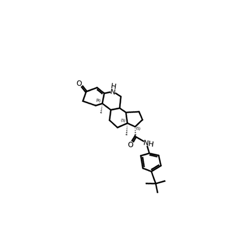 CC(C)(C)c1ccc(NC(=O)[C@H]2CCC3C4CNC5=CC(=O)CC[C@]5(C)C4CC[C@@]32C)cc1